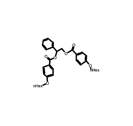 CCCCCCOc1ccc(C(=O)OCC(OC(=O)c2ccc(OCCCCCC)cc2)c2ccccc2)cc1